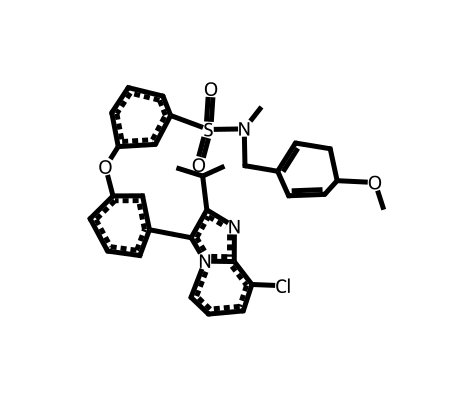 COC1C=CC(CN(C)S(=O)(=O)c2cccc(Oc3cccc(-c4c(C(C)C)nc5c(Cl)cccn45)c3)c2)=CC1